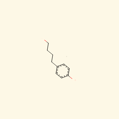 [K+].[O-]CCCCc1ccc(O)cc1